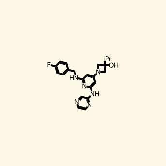 CC(C)C1(O)CN(c2cc(NCc3ccc(F)cc3)nc(Nc3cnccn3)c2)C1